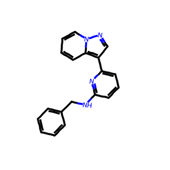 c1ccc(CNc2cccc(-c3cnn4ccccc34)n2)cc1